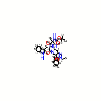 CCN1N=C2CCN(C(=O)[C@@H](Cc3c[nH]c4ccccc34)NC(=O)C(C)(C)NC(=O)OC(C)(C)C)C[C@@]2(Cc2ccccc2)C1=O